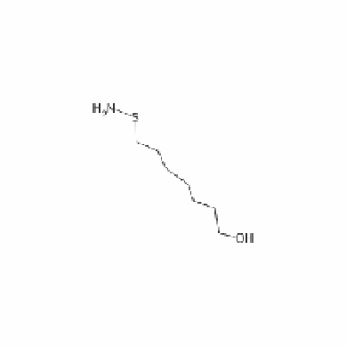 NSCCCCCCCO